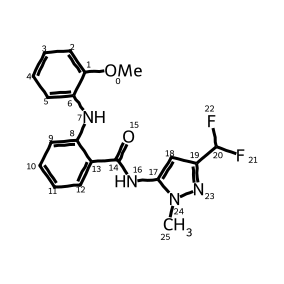 COc1ccccc1Nc1ccccc1C(=O)Nc1cc(C(F)F)nn1C